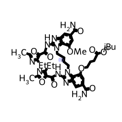 CCc1nc(C)oc1C(=O)Nc1nc2cc(C(N)=O)cc(OC)c2n1C/C=C/Cn1c(NC(=O)c2oc(C)nc2CC)nc2cc(C(N)=O)cc(OCCCC(=O)O[C@@H](C)CC)c21